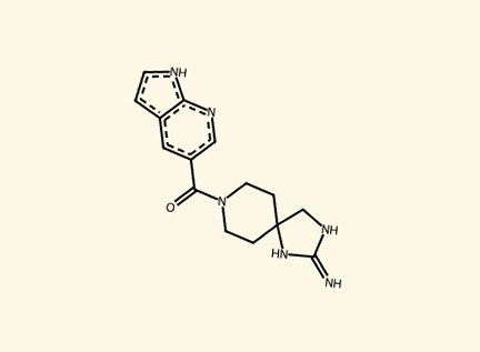 N=C1NCC2(CCN(C(=O)c3cnc4[nH]ccc4c3)CC2)N1